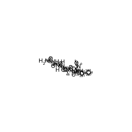 CNC(COC)C(=O)N[C@@H](Cc1ccc(-c2ccccc2)cc1)C(=O)NCC(=O)N(CC(=O)NCC(=O)NCC(=O)NCC(N)=O)C(C)C